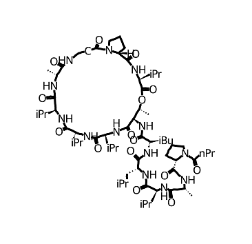 CCCC(=O)N1CCC[C@H]1C(=O)N[C@H](C)C(=O)N[C@H](C(=O)N[C@H](CC(C)C)C(=O)N[C@H](C(=O)N[C@H]1C(=O)N[C@@H](C(C)C)C(=O)N[C@H](C(C)C)C(=O)N[C@@H](C(C)C)C(=O)N[C@H](C)C(=O)NCCC(=O)N2CCC[C@@H]2C(=O)N[C@@H](C(C)C)C(=O)O[C@@H]1C)[C@H](C)CC)C(C)C